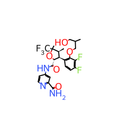 CC(CO)COc1c([C@H]2[C@H](C(=O)Nc3ccnc(C(N)=O)c3)O[C@@](C)(C(F)(F)F)[C@H]2C)ccc(F)c1F